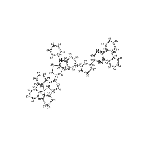 C1=C(c2ccc3c(c2)C2(c4ccccc4-c4ccccc42)c2ccccc2-3)CCc2c1c1cc(-c3cccc(-c4cnc5c6ccccc6c6ccccc6c5n4)c3)ccc1n2-c1ccccc1